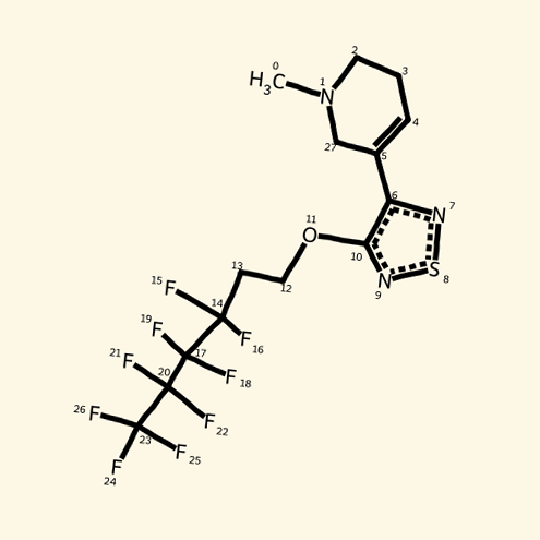 CN1CCC=C(c2nsnc2OCCC(F)(F)C(F)(F)C(F)(F)C(F)(F)F)C1